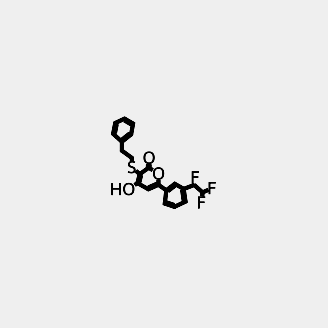 O=c1oc(-c2cccc(C(F)C(F)F)c2)cc(O)c1SCCc1ccccc1